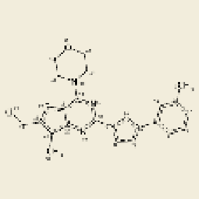 Cc1cccc(-c2ccn(-c3nc(N4CCOCC4)c4sc(CCl)c(C)c4n3)c2)c1